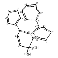 OC1(O)C=CC(c2ccccc2)=CC1.c1ccc(-c2ccccc2)cc1